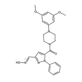 COc1cc(OC)cc(N2CCN(C(=O)c3cc(/C=N/O)nn3-c3ccccc3)CC2)c1